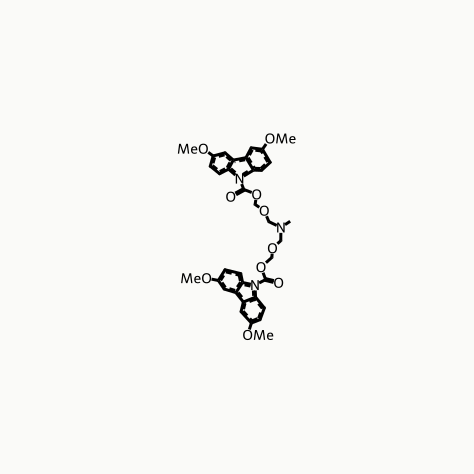 COc1ccc2c(c1)c1cc(OC)ccc1n2C(=O)OCOCN(C)COCOC(=O)n1c2ccc(OC)cc2c2cc(OC)ccc21